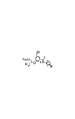 COC[C@H](C)Oc1cc(CBr)cc(C(=O)Nc2ncc(F)s2)c1